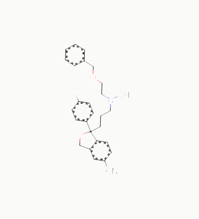 CN(CCCC1(c2ccc(F)cc2)OCc2cc(C#N)ccc21)CCOCc1ccccc1